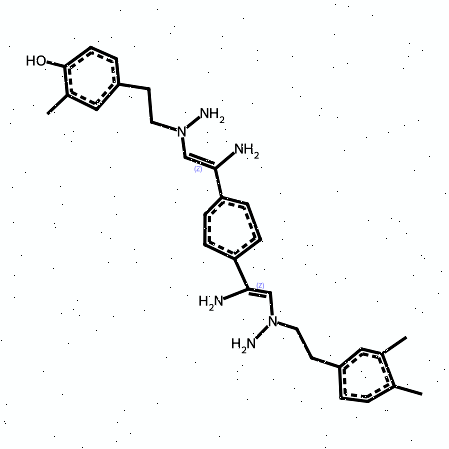 Cc1ccc(CCN(N)/C=C(\N)c2ccc(/C(N)=C/N(N)CCc3ccc(O)c(C)c3)cc2)cc1C